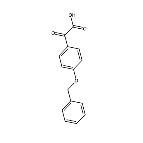 O=C(O)C(=O)c1ccc(OCc2ccccc2)cc1